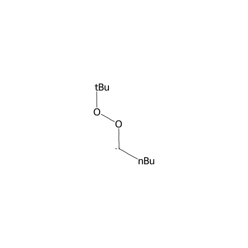 CCCC[CH]OOC(C)(C)C